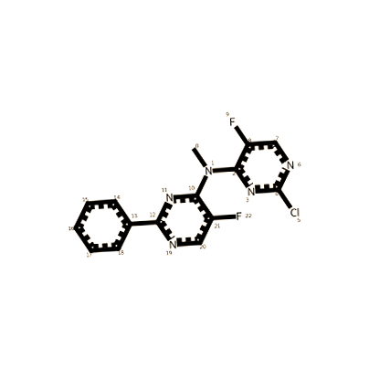 CN(c1nc(Cl)ncc1F)c1nc(-c2ccccc2)ncc1F